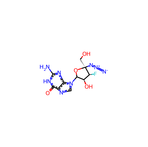 [N-]=[N+]=N[C@]1(CO)OC(n2cnc3c(=O)[nH]c(N)nc32)[C@H](O)[C@@H]1F